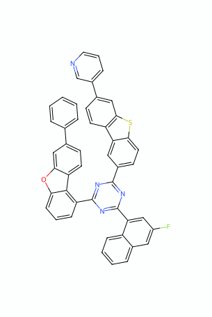 Fc1cc(-c2nc(-c3ccc4sc5cc(-c6cccnc6)ccc5c4c3)nc(-c3cccc4oc5cc(-c6ccccc6)ccc5c34)n2)c2ccccc2c1